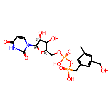 Cc1cc(CO)cc(CP(=O)(O)OP(=O)(O)OC[C@H]2O[C@@H](n3ccc(=O)[nH]c3=O)[C@@H](O)C2O)c1